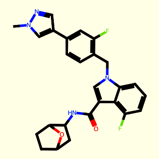 Cn1cc(-c2ccc(Cn3cc(C(=O)NC4CC5CCC4O5)c4c(F)cccc43)c(F)c2)cn1